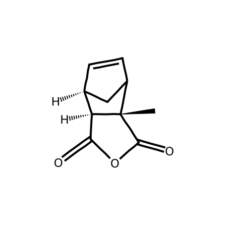 C[C@@]12C(=O)OC(=O)[C@H]1[C@H]1C=CC2C1